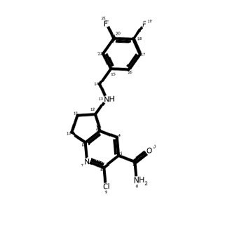 NC(=O)c1cc2c(nc1Cl)CCC2NCc1ccc(F)c(F)c1